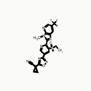 CCS(=O)(=O)c1cc(-c2noc(C3(C#N)CC3)n2)cnc1-c1nc2cc(C(F)(F)F)cnc2n1C